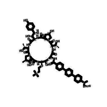 CCCCCN(C)c1ccc(-c2ccc(-c3ccc(C(=O)N[C@H]4C[C@@H](O)[C@@H](OCC[N+](C)(C)C)NC(=O)[C@@H]5[C@@H](O)[C@@H](C)CN5C(=O)[C@H]([C@@H](C)O)NC(=O)[C@H]([C@H](O)[C@@H](O)c5ccc(O)cc5)NC(=O)[C@@H]5C[C@@H](O)CN5C(=O)[C@H]([C@@H](C)O)NC4=O)cc3)cc2)cc1